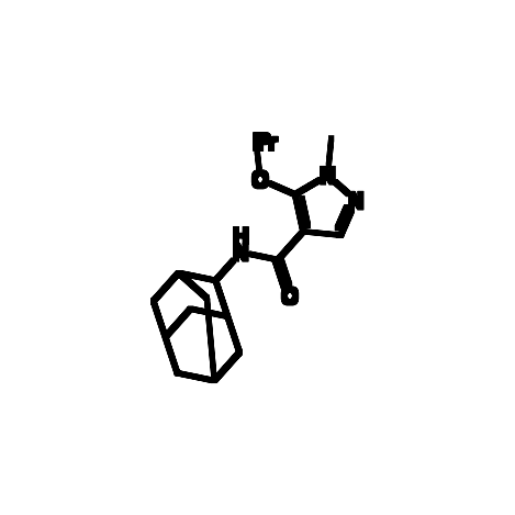 CC(C)Oc1c(C(=O)NC2C3CC4CC(C3)CC2C4)cnn1C